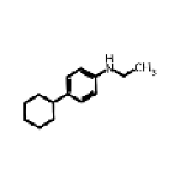 CCNc1ccc(C2CCCCC2)cc1